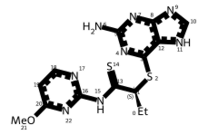 CC[C@H](Sc1nc(N)nc2nc[nH]c12)C(=S)Nc1nccc(OC)n1